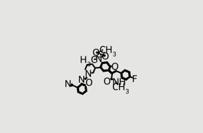 CNC(=O)c1c(-c2ccc(F)cc2)oc2cc(N(C)S(C)(=O)=O)c(C3CCCN(c4nc5c(C#N)cccc5o4)C3)cc12